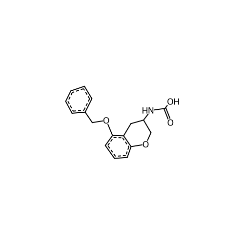 O=C(O)NC1COc2cccc(OCc3ccccc3)c2C1